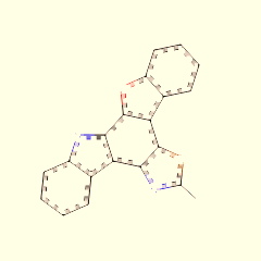 Cc1nc2c(s1)c1c3ccccc3oc1c1[nH]c3ccccc3c21